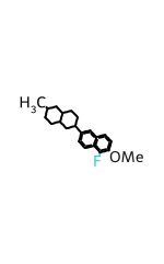 COc1ccc2cc(C3CCC4CC(C)CCC4C3)ccc2c1F